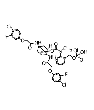 CN(C(=O)O[C@@H]1CC2(NC(=O)COc3ccc(Cl)c(F)c3)CCC1(NC(=O)COc1ccc(Cl)c(F)c1)CC2)c1ncccc1COP(=O)(O)O